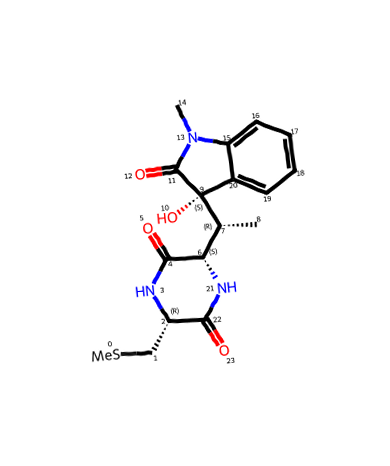 CSC[C@@H]1NC(=O)[C@H]([C@@H](C)[C@@]2(O)C(=O)N(C)c3ccccc32)NC1=O